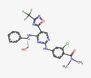 CN(C)C(=O)c1ccc(Nc2ncc(-c3nc(C(F)(F)F)no3)c(N[C@H](CO)c3ccccc3)n2)cc1Cl